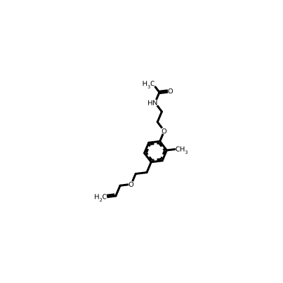 C=CCOCCc1ccc(OCCNC(C)=O)c(C)c1